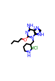 CCCCOC1N=C(N)c2nc[nH]c2N1CC1CCCNC1.Cl